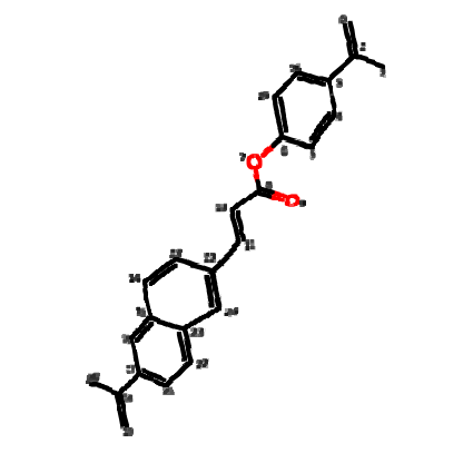 C=C(C)c1ccc(OC(=O)/C=C/c2ccc3cc(C(=C)C)ccc3c2)cc1